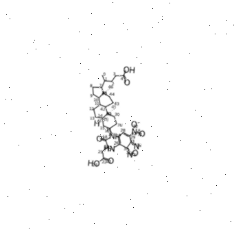 CC(CCC(=O)O)C1CCC2C3CC[C@@H]4C[C@H](NC(=O)C(CC(=O)O)Nc5ccc([N+](=O)[O-])c6nonc56)CC[C@]4(C)C3CC[C@]12C